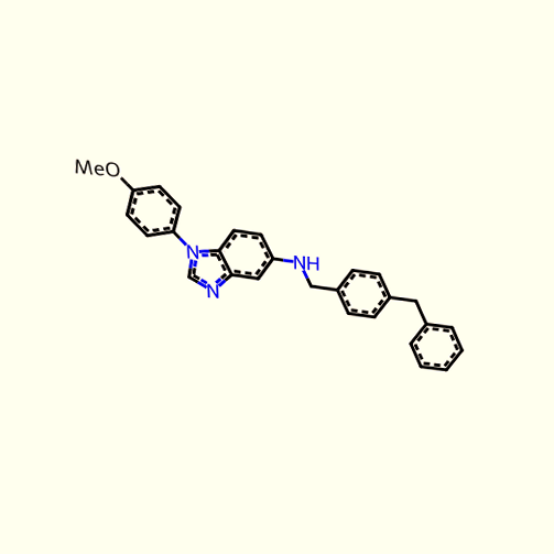 COc1ccc(-n2cnc3cc(NCc4ccc(Cc5ccccc5)cc4)ccc32)cc1